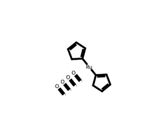 C1=CC[C]([Ru][C]2=CC=CC2)=C1.[C]=O.[C]=O.[C]=O.[C]=O